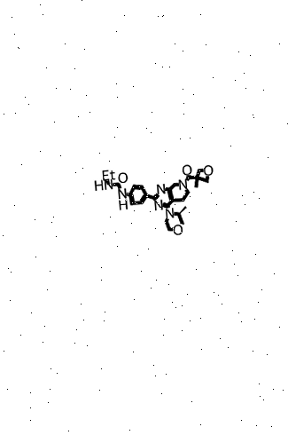 CCNC(=O)Nc1ccc(-c2nc3c(c(N4CCOC[C@@H]4C)n2)CCN(C(=O)C2(C)COC2)C3)cc1